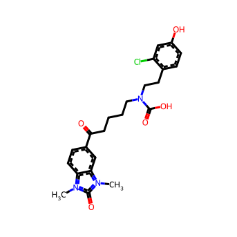 Cn1c(=O)n(C)c2cc(C(=O)CCCCN(CCc3ccc(O)cc3Cl)C(=O)O)ccc21